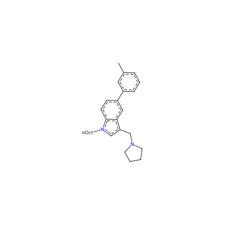 CCCCCCCCn1cc(CN2CCCC2)c2cc(-c3cccc(C)c3)ccc21